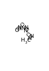 Cn1cnc2cc(-c3ccnc(Nc4ccccc4N4CCOCC4)n3)ccc21